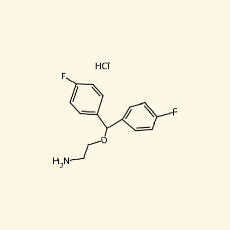 Cl.NCCOC(c1ccc(F)cc1)c1ccc(F)cc1